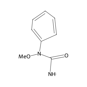 CON(C([NH])=O)c1ccccc1